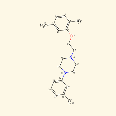 Cc1ccc(C(C)C)c(OCCN2CCN(c3cccc(C(F)(F)F)c3)CC2)c1